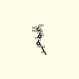 CCCC(=O)CCC(=O)NCc1cccc(COc2cc(OC)c(C(=O)O[C@H]3[C@@H](OC)O[C@H](CO)[C@@H](O)[C@@H]3O)cc2Cl)c1